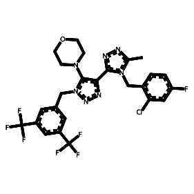 Cc1nnc(-c2nnn(Cc3cc(C(F)(F)F)cc(C(F)(F)F)c3)c2N2CCOCC2)n1Cc1ccc(F)cc1Cl